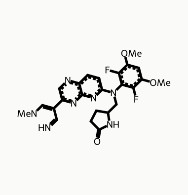 CN/C=C(\C=N)c1cnc2ccc(N(CC3CCC(=O)N3)c3c(F)c(OC)cc(OC)c3F)nc2n1